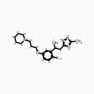 Cc1nnc(CC(O)c2cc(OCCCN3CCCCC3)ccc2F)o1